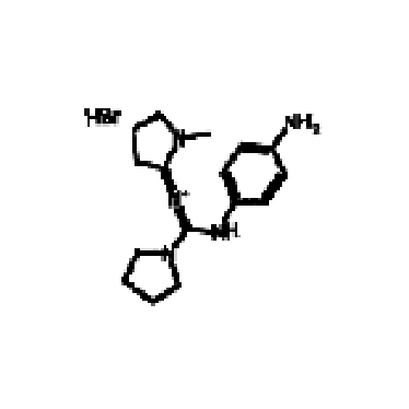 Br.CN1CCCC1=[N+]=C(Nc1ccc(N)cc1)N1CCCC1